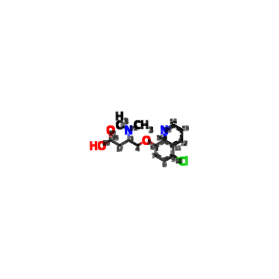 CN(C)C(COc1ccc(Cl)c2cccnc12)CC(=O)O